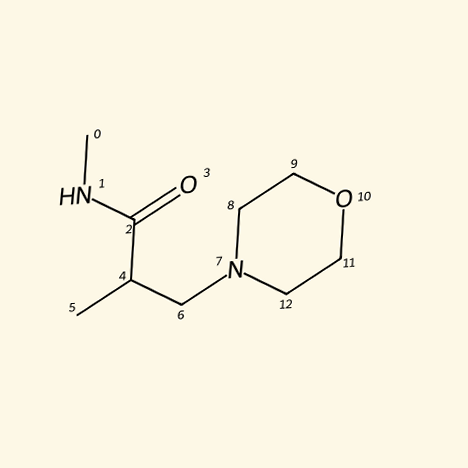 CNC(=O)C(C)CN1CCOCC1